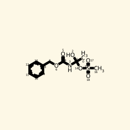 CC(O)(NC(=O)OCc1ccccc1)OS(C)(=O)=O